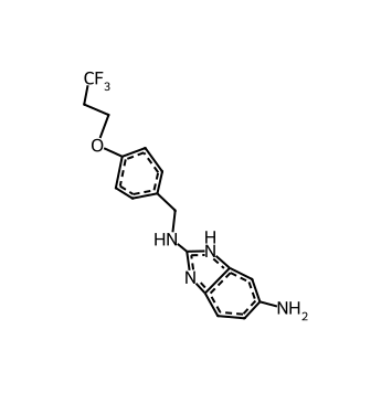 Nc1ccc2nc(NCc3ccc(OCCC(F)(F)F)cc3)[nH]c2c1